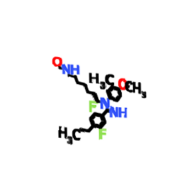 CCCc1ccc(C(=N)N(/C(F)=C/CCCCCNC=O)c2ccc(OC)c(C)c2)cc1F